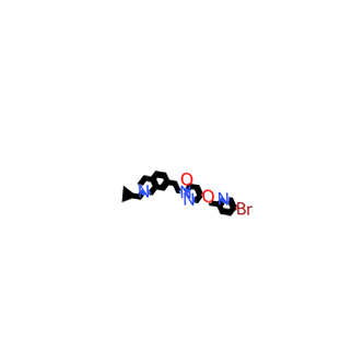 O=c1cc(OCc2ccc(Br)cn2)cnn1CCc1ccc2c(c1)CN(CC1CC1)CC2